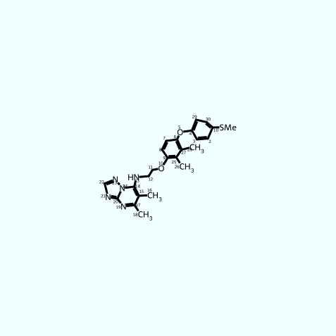 CSc1ccc(Oc2ccc(OCCNc3c(C)c(C)nc4ncnn34)c(C)c2C)cc1